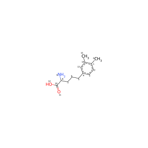 Cc1ccc(CCCC(N)C(=O)O)cc1C